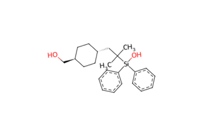 CC(C)(C[C@H]1CC[C@H](CO)CC1)[Si](O)(c1ccccc1)c1ccccc1